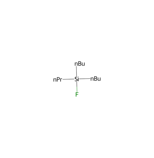 CCCC[Si](F)(CCC)CCCC